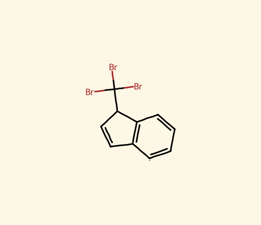 BrC(Br)(Br)C1C=Cc2[c]cccc21